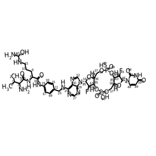 CC(C)C(N)C(=O)NC(CCCNC(N)O)C(=O)Nc1ccc(CNc2ncnc3c2ncn3[C@@H]2O[C@@H]3COP(=O)(S)O[C@H]4[C@@H](F)[C@H](n5ccc(=O)[nH]c5=O)O[C@@H]4COP(=O)(O)O[C@H]3[C@H]2F)cc1